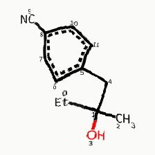 CCC(C)(O)Cc1ccc(C#N)cc1